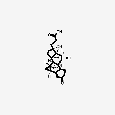 C[C@]12CCC(=O)C=C1[C@@H]1C[C@@H]1[C@@H]1[C@@H]2CC[C@@]2(C)[C@H]1CC[C@@]2(O)CCC(=O)O.[KH]